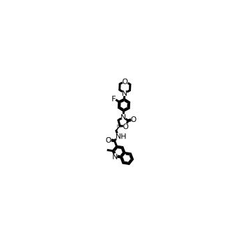 Cc1nc2ccccc2cc1C(=O)NC[C@H]1CN(c2ccc(N3CCOCC3)c(F)c2)C(=O)O1